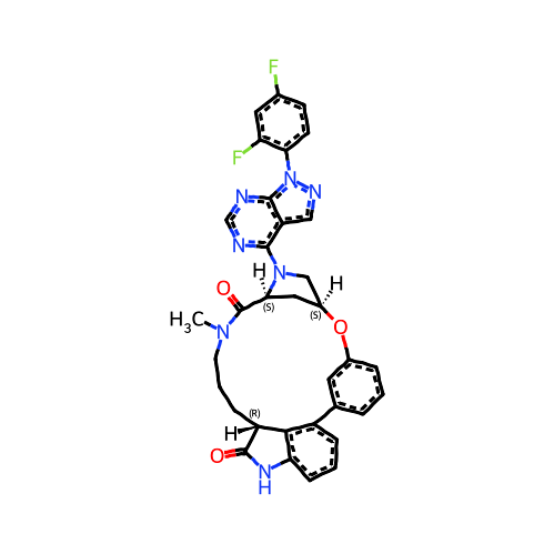 CN1CCC[C@H]2C(=O)Nc3cccc(c32)-c2cccc(c2)O[C@H]2C[C@@H](C1=O)N(c1ncnc3c1cnn3-c1ccc(F)cc1F)C2